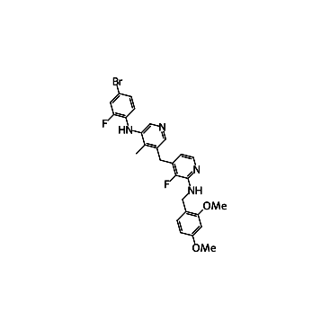 COc1ccc(CNc2nccc(Cc3cncc(Nc4ccc(Br)cc4F)c3C)c2F)c(OC)c1